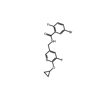 O=C(NCc1cnc(OC2CC2)c(F)c1)c1cc(Br)ccc1F